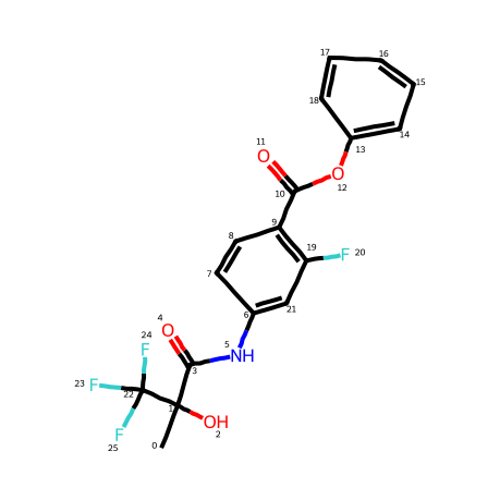 CC(O)(C(=O)Nc1ccc(C(=O)Oc2ccccc2)c(F)c1)C(F)(F)F